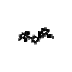 CN1CCC(O)(C#Cc2cccc(-n3cc4c(N)ncnc4n3)c2)C1=O